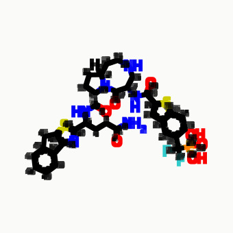 NC(=O)CCC(NC(=O)[C@@H]1CC[C@@H]2CCNC[C@H](NC(=O)c3cc4cc(C(F)(F)P(=O)(O)O)ccc4s3)C(=O)N21)c1nc2c(s1)Cc1ccccc1-2